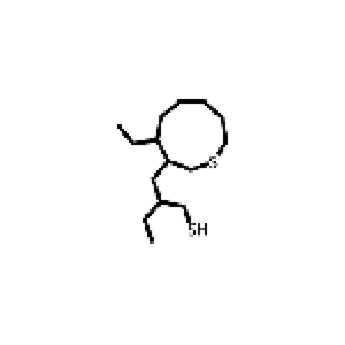 CCC(CS)CC1CSCCCCCC1CC